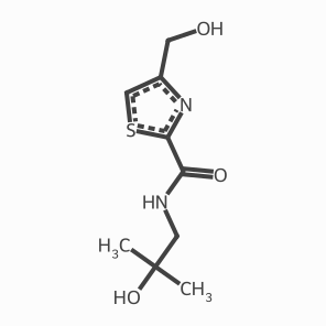 CC(C)(O)CNC(=O)c1nc(CO)cs1